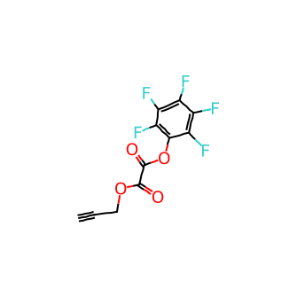 C#CCOC(=O)C(=O)Oc1c(F)c(F)c(F)c(F)c1F